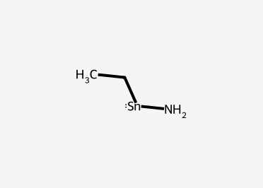 C[CH2][Sn][NH2]